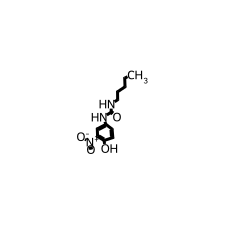 CCCCCNC(=O)Nc1ccc(O)c([N+](=O)[O-])c1